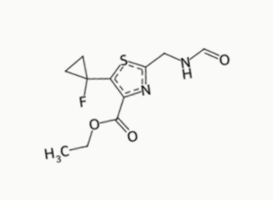 CCOC(=O)c1nc(CNC=O)sc1C1(F)CC1